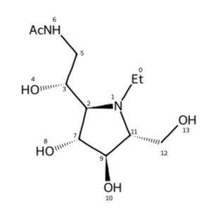 CCN1[C@H]([C@H](O)CNC(C)=O)[C@@H](O)[C@H](O)[C@H]1CO